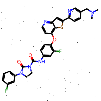 CN(C)Cc1ccc(-c2cc3nccc(Oc4ccc(NC(=O)N5CCN(c6cccc(F)c6)C5=O)cc4F)c3s2)nc1